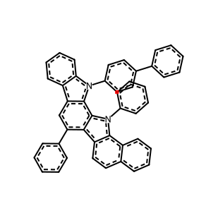 c1ccc(-c2ccc(-n3c4ccccc4c4cc(-c5ccccc5)c5c6ccc7ccccc7c6n(-c6ccccc6)c5c43)cc2)cc1